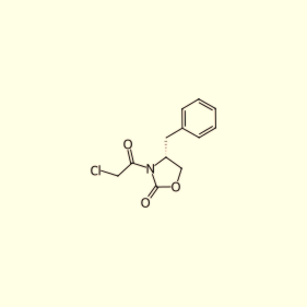 O=C(CCl)N1C(=O)OC[C@H]1Cc1ccccc1